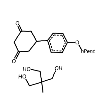 CC(CO)(CO)CO.CCCCCOc1ccc(C2CC(=O)CC(=O)C2)cc1